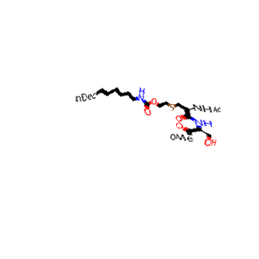 CCCCCCCCCCCCCCCCNC(=O)OCCSC[C@H](NC(C)=O)C(=O)N[C@@H](CO)C(=O)OC